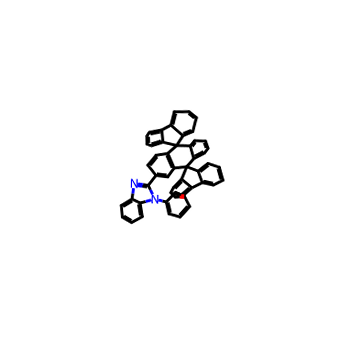 c1ccc(-n2c(-c3ccc4c(c3)C3(c5ccccc5-c5ccccc53)c3ccccc3C43c4ccccc4-c4ccccc43)nc3ccccc32)cc1